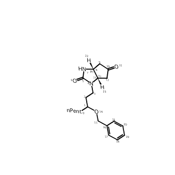 CCCCCC(CCN1C(=O)N[C@@H]2CC(=O)C[C@@H]21)OCc1ccccc1